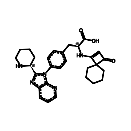 O=C(O)[C@H](Cc1ccc(-n2c([C@H]3CCCCN3)nc3cccnc32)cc1)NC1=CC(=O)C12CCCCC2